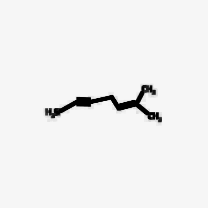 CC(C)=CCC#C[SiH3]